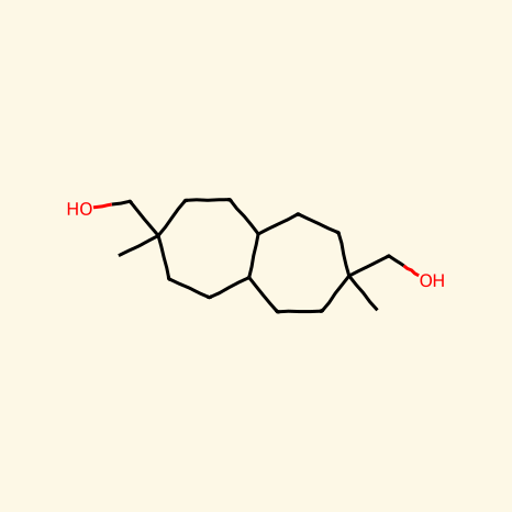 CC1(CO)CCC2CCC(C)(CO)CCC2CC1